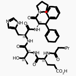 CC(C)CC(=O)N[C@@H](CCC(=O)O)C(=O)N[C@H](C(=O)N[C@@H](Cc1cnc[nH]1)C(=O)N[C@H](C(=O)N1CCCC1)C(C1=CCCC=C1)c1ccccc1)[C@@H](C)O